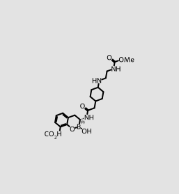 COC(=O)NCCNC1CCC(CC(=O)N[C@H]2Cc3cccc(C(=O)O)c3OB2O)CC1